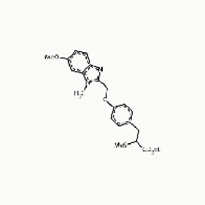 CCOC(=O)C(Cc1ccc(OCc2nc3ccc(OC)cc3n2C)cc1)SC